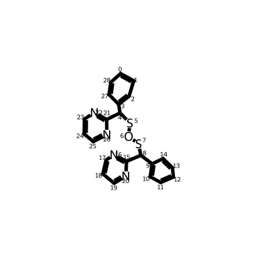 c1ccc(C(SOSC(c2ccccc2)c2ncccn2)c2ncccn2)cc1